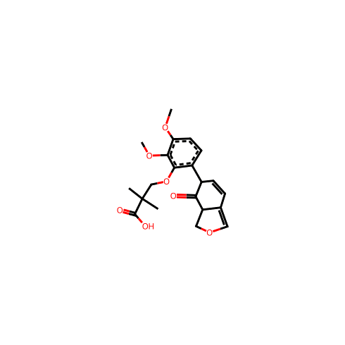 COc1ccc(C2C=CC3=COCC3C2=O)c(OCC(C)(C)C(=O)O)c1OC